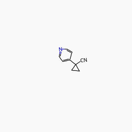 N#CC1(c2ccncc2)CC1